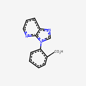 O=C(O)c1ccccc1-n1cnc2cccnc21